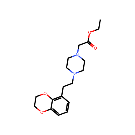 CCOC(=O)CN1CCN(CCc2cccc3c2OCCO3)CC1